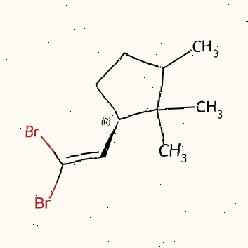 CC1CC[C@H](C=C(Br)Br)C1(C)C